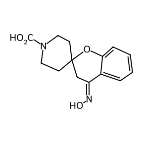 O=C(O)N1CCC2(CC1)C/C(=N\O)c1ccccc1O2